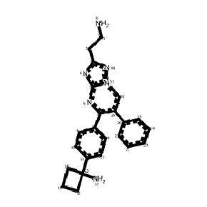 NCCc1nc2nc(-c3ccc(C4(N)CCC4)cc3)c(-c3ccccc3)cn2n1